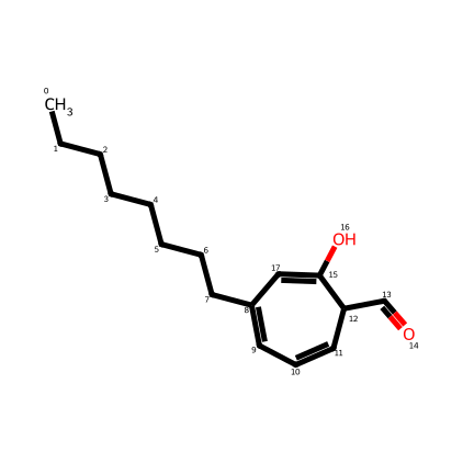 CCCCCCCCC1=CC=CC(C=O)C(O)=C1